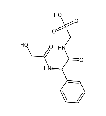 O=C(CO)N[C@@H](C(=O)NCS(=O)(=O)O)c1ccccc1